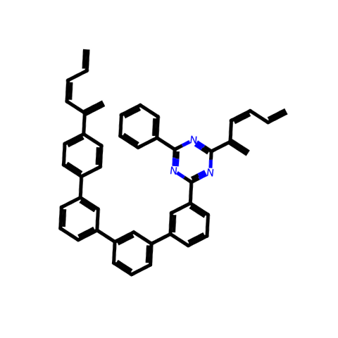 C=C/C=C\C(=C)c1ccc(-c2cccc(-c3cccc(-c4cccc(-c5nc(C(=C)/C=C\C=C)nc(-c6ccccc6)n5)c4)c3)c2)cc1